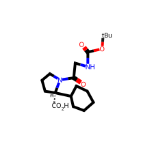 CC(C)(C)OC(=O)NCC(=O)N1CCC[C@]1(C(=O)O)C1CCCCC1